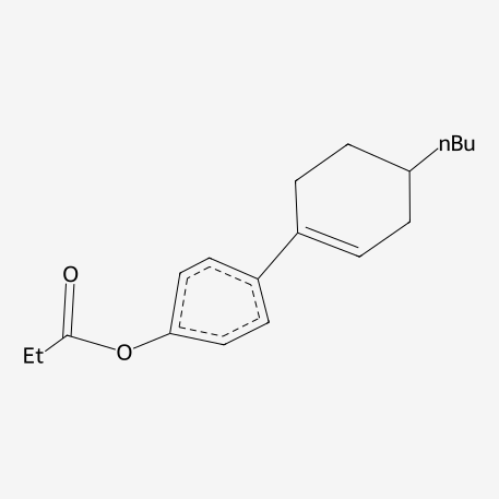 CCCCC1CC=C(c2ccc(OC(=O)CC)cc2)CC1